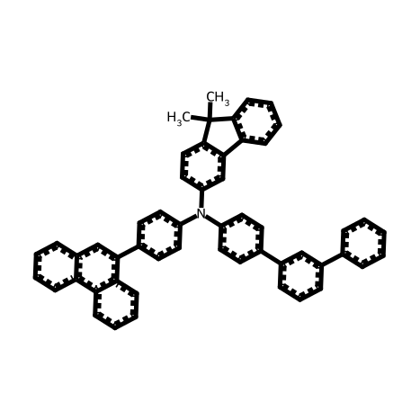 CC1(C)c2ccccc2-c2cc(N(c3ccc(-c4cccc(-c5ccccc5)c4)cc3)c3ccc(-c4cc5ccccc5c5ccccc45)cc3)ccc21